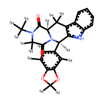 [2H]c1c([2H])c([C@]2([2H])c3[nH]c4ccccc4c3C([2H])([2H])[C@]3([2H])C(=O)N(C([2H])([2H])[2H])C([2H])([2H])C(=O)N23)c([2H])c2c1OC([2H])([2H])O2